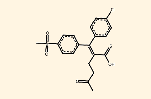 CC(=O)CCC(C(O)=S)=C(c1ccc(Cl)cc1)c1ccc(S(C)(=O)=O)cc1